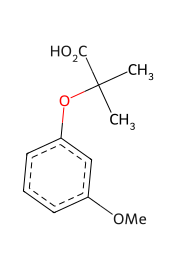 COc1cccc(OC(C)(C)C(=O)O)c1